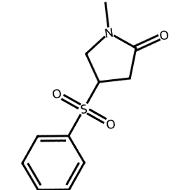 CN1CC(S(=O)(=O)c2ccccc2)CC1=O